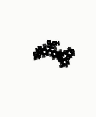 Cc1cnc2c(c1)S(=O)(=O)N(Cc1cc([C@@H](c3ccn4c(C(F)(F)F)nnc4c3C)C(C)(C)C(=O)O)ccc1C)CC1(CCOCC1)O2